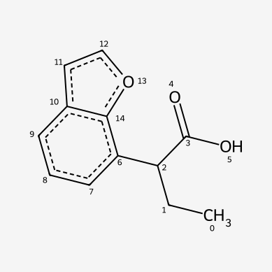 CCC(C(=O)O)c1cccc2ccoc12